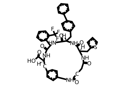 O=C1CCC(=O)N[C@H](Cc2cccs2)C(=O)N[C@@H](Cc2ccc(-c3ccccc3)cc2)C(=O)NC(c2ccccc2C(F)(F)F)C(=O)N[C@H](C(=O)O)Cc2ccc(cc2)N1